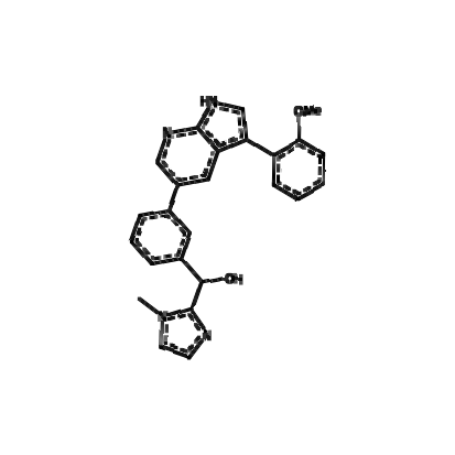 COc1ccccc1-c1c[nH]c2ncc(-c3cccc(C(O)c4nccn4C)c3)cc12